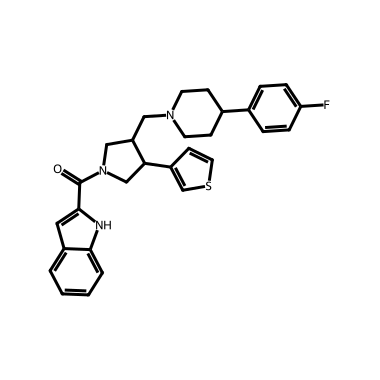 O=C(c1cc2ccccc2[nH]1)N1CC(CN2CCC(c3ccc(F)cc3)CC2)C(c2ccsc2)C1